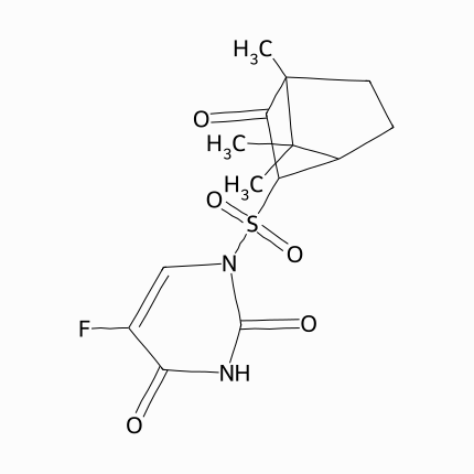 CC12CCC(C(S(=O)(=O)n3cc(F)c(=O)[nH]c3=O)C1=O)C2(C)C